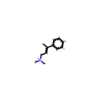 CC(=CCN(C)C)c1ccccc1